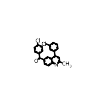 Cc1cc(-c2cccc(Cl)c2)c2cc(C(=O)c3ccc(Cl)cc3)ccc2n1